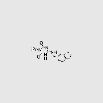 CC(C)n1c(=O)nc(NCc2ccc3c(c2)CCC3)[nH]c1=O